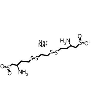 N[C@H](CCSSCCSSCC[C@@H](N)CS(=O)[O-])CS(=O)[O-].[Na+].[Na+]